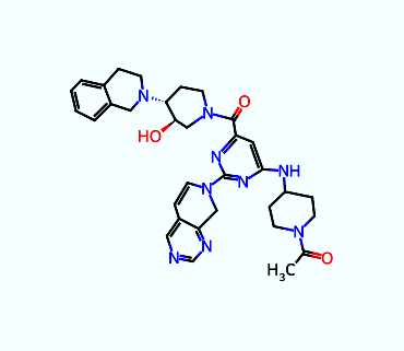 CC(=O)N1CCC(Nc2cc(C(=O)N3CC[C@@H](N4CCc5ccccc5C4)[C@H](O)C3)nc(N3C=Cc4cncnc4C3)n2)CC1